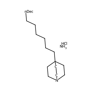 CCCCCCCCCCCCCCCCC12CCN(CC1)CC2.Cl.N